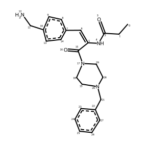 CCC(=O)N/C(=C/c1ccc(CN)cc1)C(=O)N1CCN(Cc2ccccc2)CC1